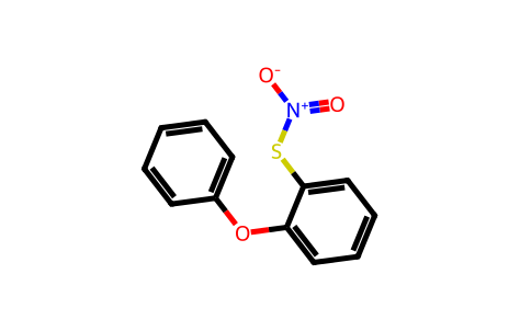 O=[N+]([O-])Sc1ccccc1Oc1ccccc1